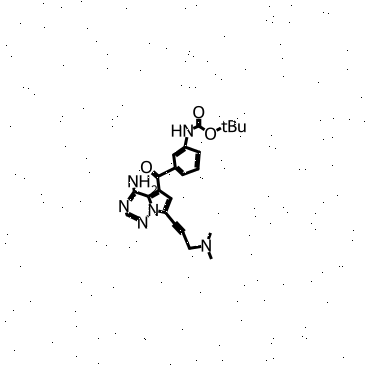 CN(C)CC#Cc1cc(C(=O)c2cccc(NC(=O)OC(C)(C)C)c2)c2c(N)ncnn12